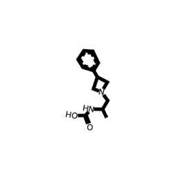 CC(CN1CC(c2ccccc2)C1)NC(=O)O